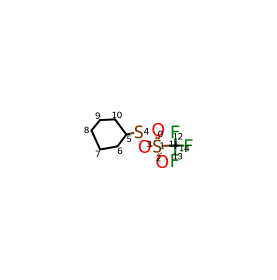 O=S(=O)(OSC1CCCCC1)C(F)(F)F